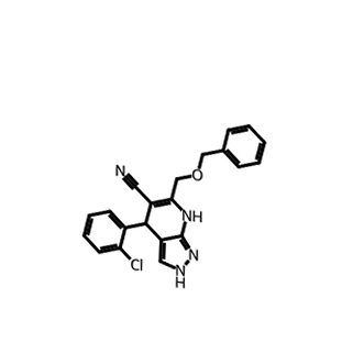 N#CC1=C(COCc2ccccc2)Nc2n[nH]cc2C1c1ccccc1Cl